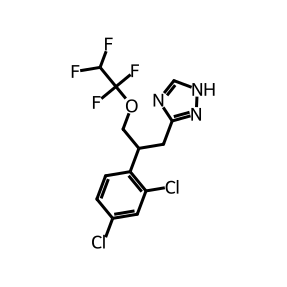 FC(F)C(F)(F)OCC(Cc1nc[nH]n1)c1ccc(Cl)cc1Cl